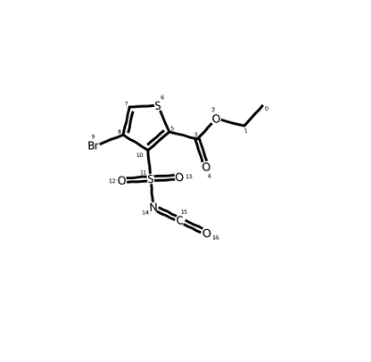 CCOC(=O)c1scc(Br)c1S(=O)(=O)N=C=O